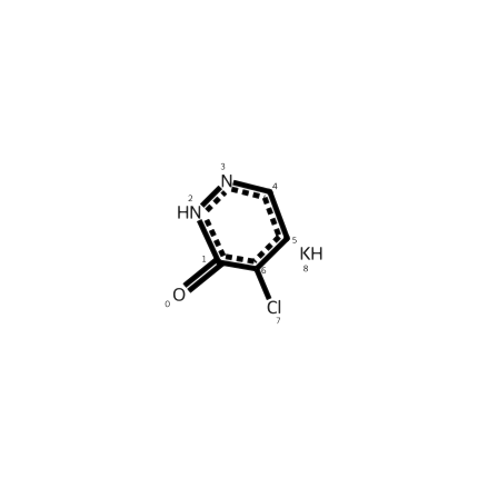 O=c1[nH]nccc1Cl.[KH]